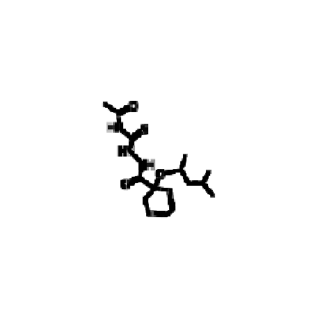 CC(=O)NC(=S)NNC(=O)C1(OC(C)CC(C)C)C=CC=CC1